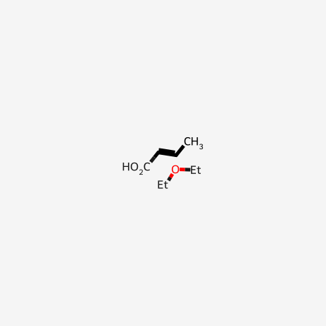 CC=CC(=O)O.CCOCC